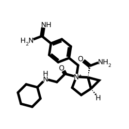 N=C(N)c1ccc(C[N+]2(C(=O)CNC3CCCCC3)CC[C@@H]3C[C@@]32C(N)=O)cc1